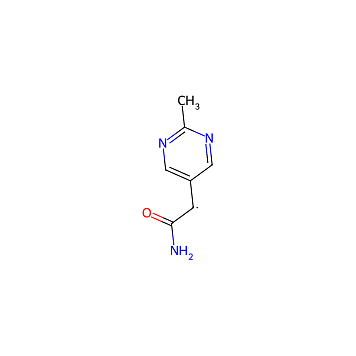 Cc1ncc([CH]C(N)=O)cn1